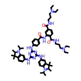 CCN(CC)CCCNC(=O)c1ccc(C(=O)NCCCN(CC)CC)c(NC(=O)c2ccc(Nc3nc(Nc4ccc5c(c4)N(C(C)C)C(C)C5(C)C)nc(Nc4ccc5c(c4)C(C)(C)C(C)N5C(C)C)n3)cc2)c1